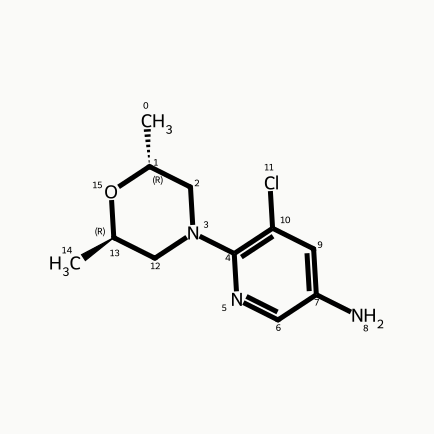 C[C@@H]1CN(c2ncc(N)cc2Cl)C[C@@H](C)O1